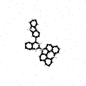 c1ccc2c(-c3ccc4c(c3)sc3ccccc34)nc(-n3c4ccc5cccc6sc7cccc8ccc3c(c87)c4c56)nc2c1